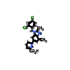 Cc1cc(-c2cccc(C(=O)O)n2)cc2c1nc(C)n2Cc1ccc(Cl)cc1Cl